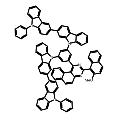 COc1ccc2ccccc2c1-c1nc(-c2cc(-n3c4ccccc4c4ccc(-c5ccc6c(c5)c5ccccc5n6-c5ccccc5)cc43)cc(-n3c4ccccc4c4ccc(-c5ccc6c(c5)c5ccccc5n6-c5ccccc5)cc43)c2)c2c(ccc3ccccc32)n1